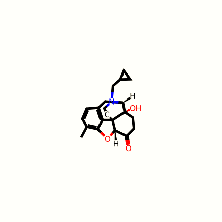 Cc1ccc2c3c1O[C@H]1C(=O)CC[C@@]4(O)[C@@H](C2)N(CC2CC2)CC[C@]314